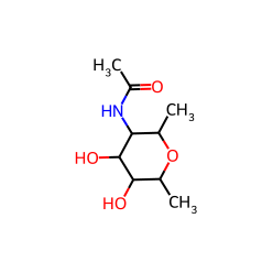 CC(=O)NC1C(C)OC(C)C(O)C1O